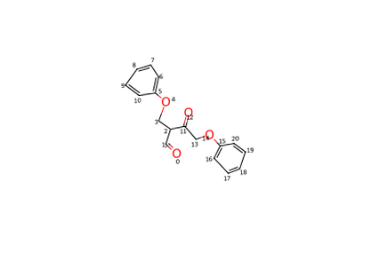 O=[C]C(COc1ccccc1)C(=O)COc1ccccc1